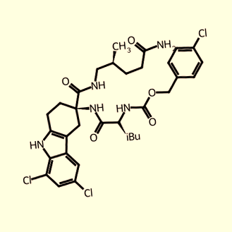 CC[C@H](C)C(NC(=O)OCc1ccc(Cl)cc1)C(=O)N[C@]1(C(=O)NC[C@@H](C)CCC(N)=O)CCc2[nH]c3c(Cl)cc(Cl)cc3c2C1